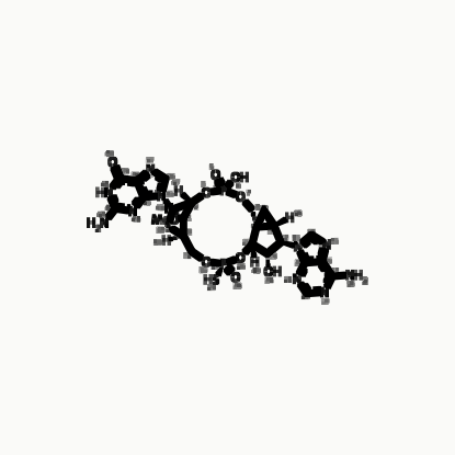 CO[C@H]1[C@H]2OP(=O)(O)OC[C@]34C[C@@H]3[C@@H](n3cnc5c(N)ncnc53)[C@H](O)[C@@H]4O[P@@](=O)(S)OC[C@H]1S[C@H]2n1cnc2c(=O)[nH]c(N)nc21